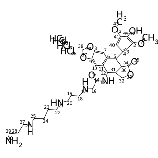 COc1cc(C2c3cc4c(cc3C(NC(=O)CNCCCNCCCCNCCCN)C3COC(=O)C23)OCO4)cc(OC)c1O.Cl.Cl.Cl.Cl